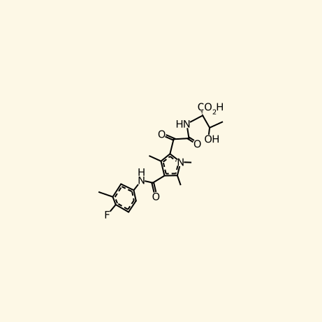 Cc1cc(NC(=O)c2c(C)c(C(=O)C(=O)N[C@H](C(=O)O)C(C)O)n(C)c2C)ccc1F